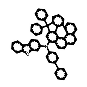 c1ccc(-c2ccc(N(c3ccc4c(c3)oc3ccccc34)c3cc4c5c6c3ccc3ccc7cccc(c7c36)-c3cccc(c3-5)C4(c3ccccc3)c3ccccc3)cc2)cc1